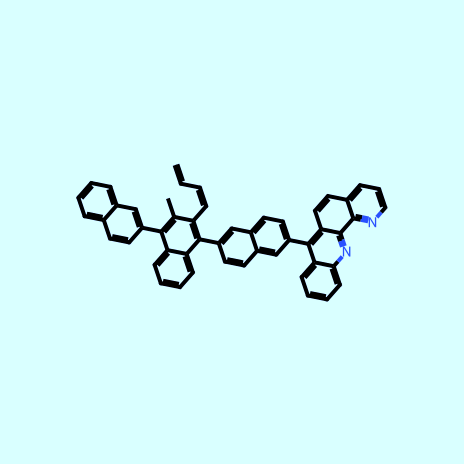 C=C/C=C\c1c(C)c(-c2ccc3ccccc3c2)c2ccccc2c1-c1ccc2cc(-c3c4ccccc4nc4c3ccc3cccnc34)ccc2c1